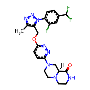 Cc1nnn(-c2ccc(C(F)F)cc2F)c1COc1ccc(N2CCN3CCNC(=O)[C@@H]3C2)nn1